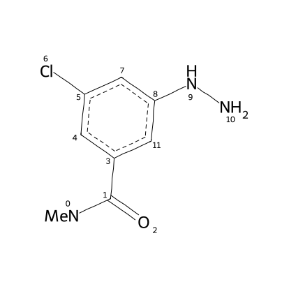 CNC(=O)c1cc(Cl)cc(NN)c1